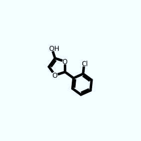 OC1=COC(c2ccccc2Cl)O1